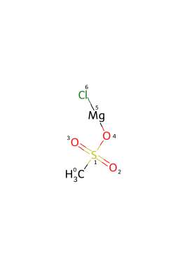 CS(=O)(=O)[O][Mg][Cl]